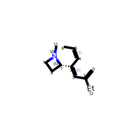 C=C(/C=C(\C=C/C)[C@@H]1CCN1C)CC